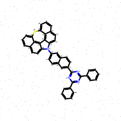 c1ccc(-c2nc(-c3ccccc3)nc(-c3ccc4cc(-n5c6ccc7cccc8sc9cccc%10ccc5c(c%109)c6c78)ccc4c3)n2)cc1